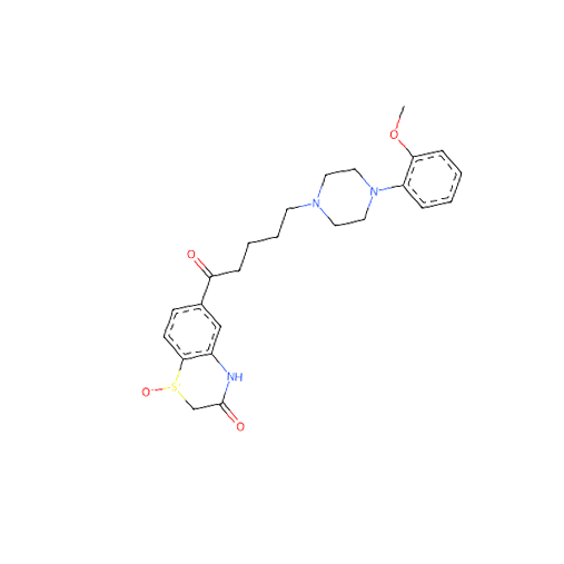 COc1ccccc1N1CCN(CCCCC(=O)c2ccc3c(c2)NC(=O)C[S+]3[O-])CC1